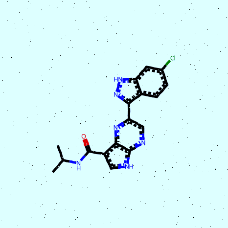 CC(C)NC(=O)c1c[nH]c2ncc(-c3n[nH]c4cc(Cl)ccc34)nc12